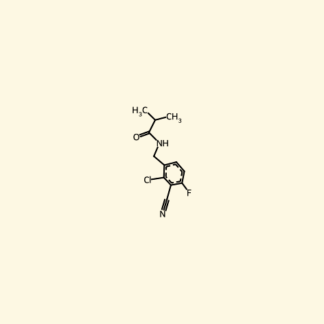 CC(C)C(=O)NCc1ccc(F)c(C#N)c1Cl